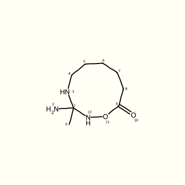 CC1(N)NCCCCCC(=O)ON1